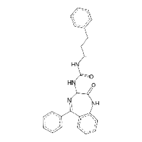 O=C(N[CH]CCc1ccccc1)NC1N=C(c2ccccc2)c2ccccc2NC1=O